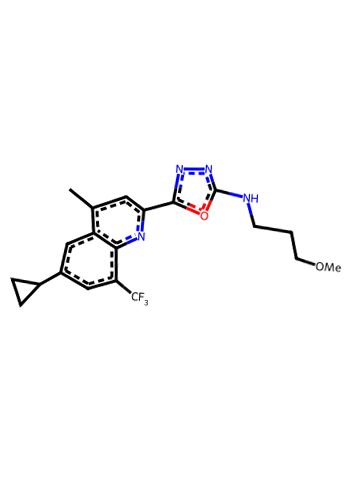 COCCCNc1nnc(-c2cc(C)c3cc(C4CC4)cc(C(F)(F)F)c3n2)o1